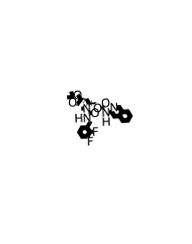 CN(C(=O)NCc1cccc(F)c1F)[C@H](COC(=O)Nc1cc2ccccc2cn1)C[C@@H]1COC(C)(C)O1